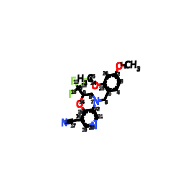 COc1ccc(CN2CC(C(F)(F)F)Oc3c(C#N)cncc32)c(OC)c1